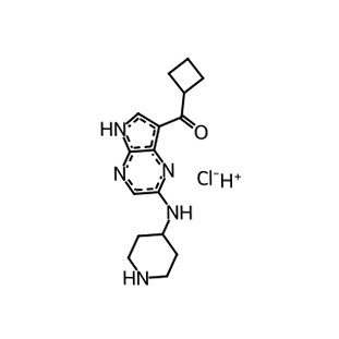 O=C(c1c[nH]c2ncc(NC3CCNCC3)nc12)C1CCC1.[Cl-].[H+]